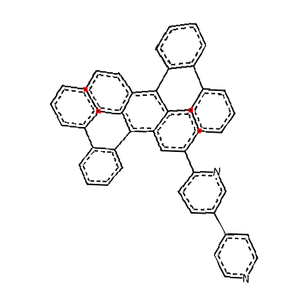 c1ccc(-c2ccccc2-c2c3ccccc3c(-c3ccccc3-c3ccccc3)c3cc(-c4ccc(-c5ccncc5)cn4)ccc23)cc1